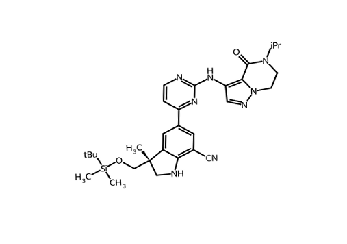 CC(C)N1CCn2ncc(Nc3nccc(-c4cc(C#N)c5c(c4)[C@@](C)(CO[Si](C)(C)C(C)(C)C)CN5)n3)c2C1=O